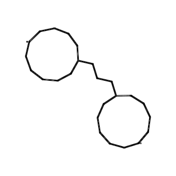 [CH]1CCCCCC(CCCC2CCCC[CH]CCCCC2)CCCC1